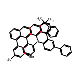 CC(C)(C)c1cc(-c2cccc3cccc(-c4ccccc4N(c4ccc(-c5ccccc5)cc4-c4ccccc4)c4cccc5c4-c4ccccc4C5(C)C)c23)cc(C(C)(C)C)c1